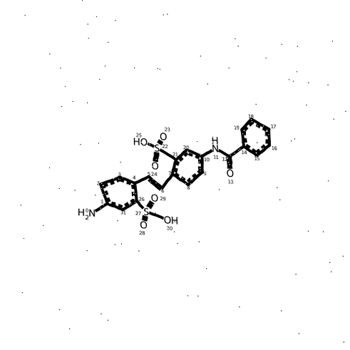 Nc1ccc(C=Cc2ccc(NC(=O)c3ccccc3)cc2S(=O)(=O)O)c(S(=O)(=O)O)c1